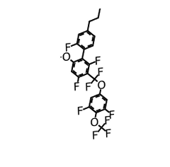 CCCc1ccc(-c2c([O])cc(F)c(C(F)(F)Oc3cc(F)c(OC(F)(F)F)c(F)c3)c2F)c(F)c1